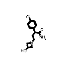 NC(=O)C(CCN1CC(O)C1)c1ccc(Cl)cc1